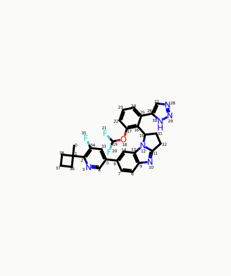 CC1(c2ncc(-c3ccc4nc5n(c4c3)C(c3c(OC(F)F)cccc3-c3cnn[nH]3)CC5)cc2F)CCC1